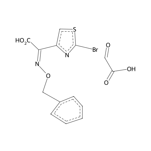 O=C(O)C(=NOCc1ccccc1)c1csc(Br)n1.O=CC(=O)O